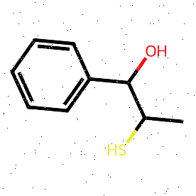 CC(S)C(O)c1ccccc1